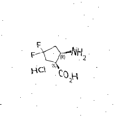 Cl.N[C@@H]1CC(F)(F)C[C@@H]1C(=O)O